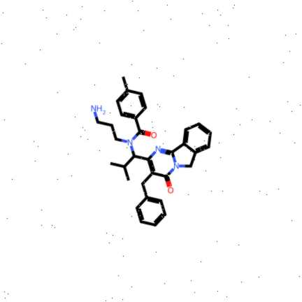 Cc1ccc(C(=O)N(CCCN)C(c2nc3n(c(=O)c2Cc2ccccc2)Cc2ccccc2-3)C(C)C)cc1